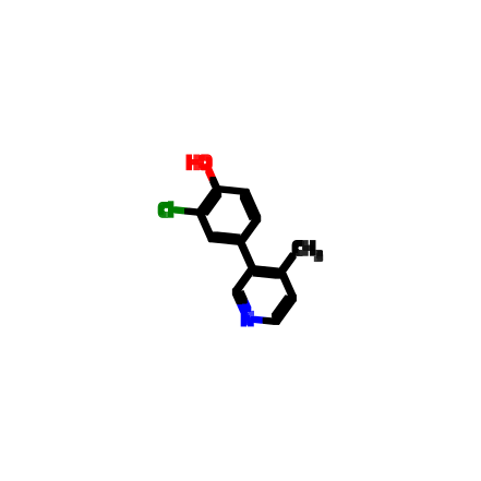 Cc1ccncc1-c1ccc(O)c(Cl)c1